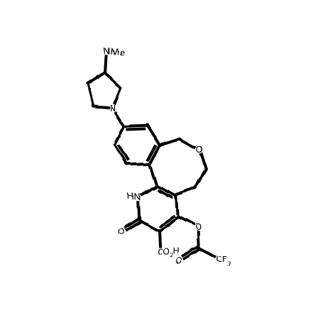 CNC1CCN(c2ccc3c(c2)COCCc2c-3[nH]c(=O)c(C(=O)O)c2OC(=O)C(F)(F)F)C1